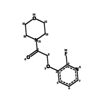 O=C(COc1cccnc1F)N1CCOCC1